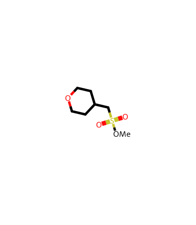 COS(=O)(=O)CC1CCOCC1